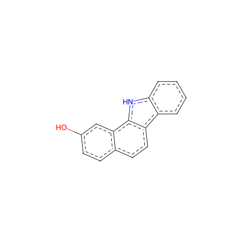 Oc1ccc2ccc3c4ccccc4[nH]c3c2c1